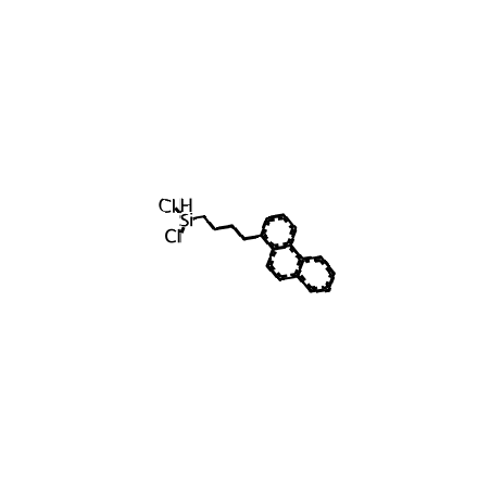 Cl[SiH](Cl)CCCCc1cccc2c1ccc1ccccc12